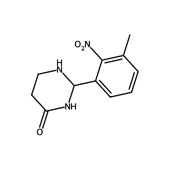 Cc1cccc(C2NCCC(=O)N2)c1[N+](=O)[O-]